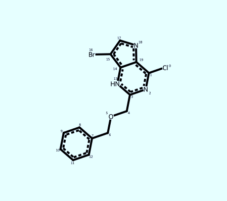 Clc1nc(COCc2ccccc2)[nH]c2c(Br)cnc1-2